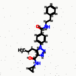 CCCc1c(C(=O)NC2CC2)nnn1-c1ccc(C(=O)NCCc2ccccc2)cc1